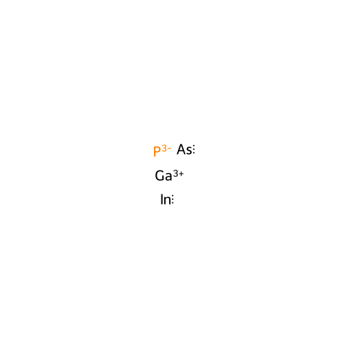 [As].[Ga+3].[In].[P-3]